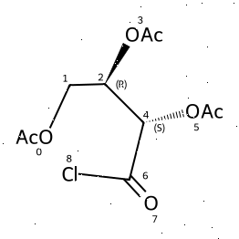 CC(=O)OC[C@@H](OC(C)=O)[C@H](OC(C)=O)C(=O)Cl